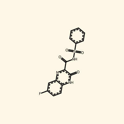 O=C(NS(=O)(=O)c1ccccc1)c1nc2cc(F)ccc2[nH]c1=O